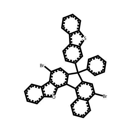 Brc1cc2c(c3ccccc13)-c1c(cc(Br)c3c1oc1ccccc13)C2(c1ccccc1)c1ccc2c(c1)sc1ccccc12